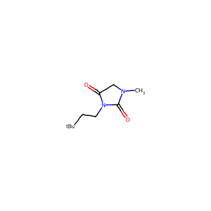 CN1CC(=O)N(CCC(C)(C)C)C1=O